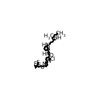 CCCC1(C)CC(CCCNc2cccc(SNC(=O)c3ccc(-n4ccc(OCCC5(C(F)(F)F)CC5)n4)nc3Cl)n2)CN1